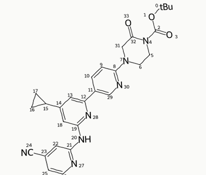 CC(C)(C)OC(=O)N1CCN(c2ccc(-c3cc(C4CC4)cc(Nc4cc(C#N)ccn4)n3)cn2)CC1=O